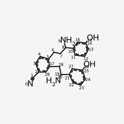 N#Cc1ccc(CCC(N)c2cccc(O)c2)c(CC(N)c2cccc(O)c2)c1